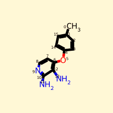 Cc1ccc(Oc2ccnc(N)c2N)cc1